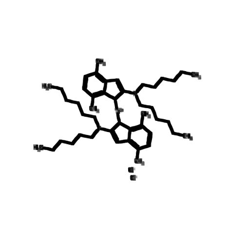 CCCCCCP(CCCCCC)C1=Cc2c(C)ccc(C)c2[CH]1[Ti+2][CH]1C(P(CCCCCC)CCCCCC)=Cc2c(C)ccc(C)c21.[Cl-].[Cl-]